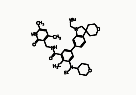 CCN(c1cc(-c2ccc3c(c2)N(CC(C)(C)C)CC32CCOCC2)cc(C(=O)NCc2c(C)cc(C)[nH]c2=O)c1C)C1CCOCC1